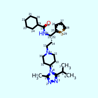 Cc1nnc(C(C)C)n1C1CCN(CC[C@H](NC(=O)C2CCCCC2)c2cccs2)CC1